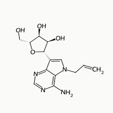 C=CCn1cc([C@@H]2O[C@H](CO)[C@@H](O)[C@H]2O)c2ncnc(N)c21